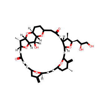 C=C1C2C[C@@H]3O[C@H](C[C@H](O)CO)[C@H](C)[C@H]3CC(=O)CC3CC[C@@H]4O[C@H]5[C@@H](C)[C@@H](CC(=O)CCC6CC(=C)[C@H](CC[C@@H](C[C@H]1C)O2)O6)O[C@H]5[C@@H](O)[C@H]4O3